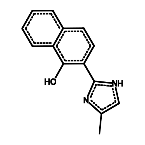 Cc1c[nH]c(-c2ccc3ccccc3c2O)n1